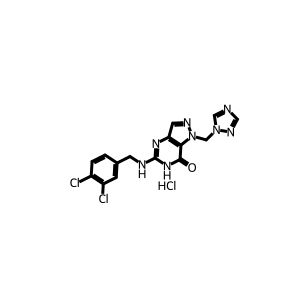 Cl.O=c1[nH]c(NCc2ccc(Cl)c(Cl)c2)nc2cnn(Cn3cncn3)c12